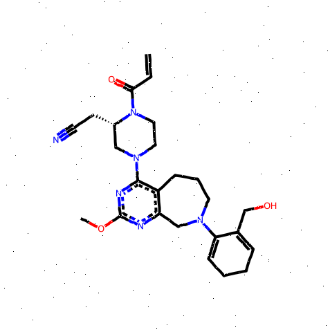 C=CC(=O)N1CCN(c2nc(OC)nc3c2CCCN(C2=CCCC=C2CO)C3)C[C@@H]1CC#N